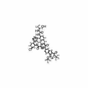 CC(C)[C@H](CO)NC(=O)Nc1ccc(C[C@@H](C(=O)Nc2ccc3c(c2)cc(C(=O)OC(C)(C)C)n3C(=O)OC(C)(C)C)N2CCN(c3cc(Cl)ccc3-n3cnnn3)C(=O)C2=O)cc1